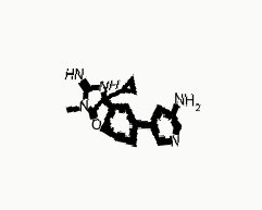 CN1C(=N)NC(c2cccc(-c3cncc(N)c3)c2)(C2CC2)C1=O